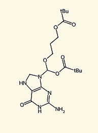 CC(C)(C)C(=O)OCCCOC(OC(=O)C(C)(C)C)N1CNc2c1nc(N)[nH]c2=O